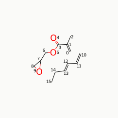 C=C(C)C(=O)OCC1CO1.C=CC=CCC